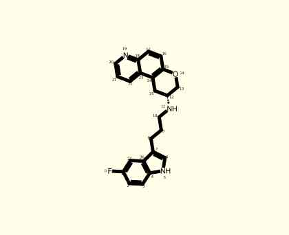 Fc1ccc2[nH]cc(CCCN[C@H]3COc4ccc5ncccc5c4C3)c2c1